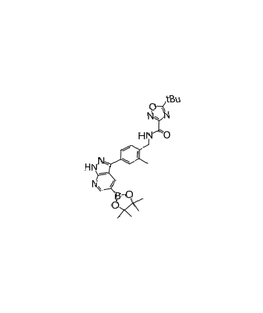 Cc1cc(-c2n[nH]c3ncc(B4OC(C)(C)C(C)(C)O4)cc23)ccc1CNC(=O)c1noc(C(C)(C)C)n1